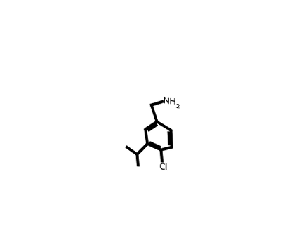 CC(C)c1cc(CN)ccc1Cl